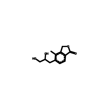 Cc1c(CC(O)CO)ccc2c1COC2=O